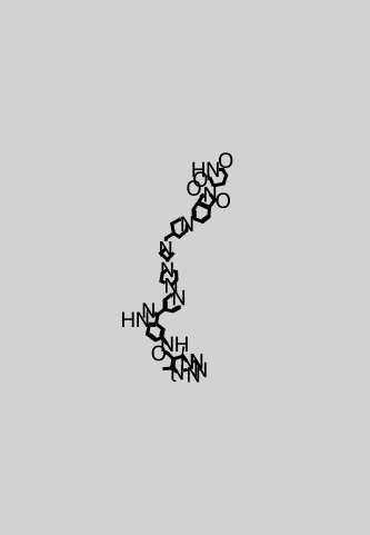 CC1=C(C(=O)Nc2ccc3[nH]nc(-c4ccnc(N5CCN(C6CN(CC7CCN(c8ccc9c(c8)C(=O)N(C8CCC(=O)NC8=O)C9=O)CC7)C6)CC5)c4)c3c2)[C@@H](C)n2nnnc2N1C